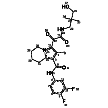 Cc1c(C(=O)Nc2ccc(F)c(F)c2)c2n(c1C(=O)C(=O)NCC(C)(C)CO)CCCC2